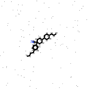 CCCCc1ccc(C2(C#N)CCC(C3CCC(CCC)CC3)CC2)cc1